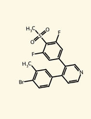 Cc1cc(-c2ccncc2-c2cc(F)c(S(C)(=O)=O)c(F)c2)ccc1Br